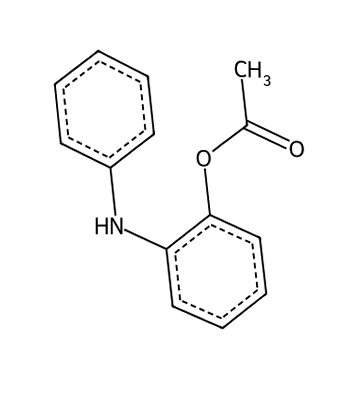 CC(=O)Oc1ccccc1Nc1ccccc1